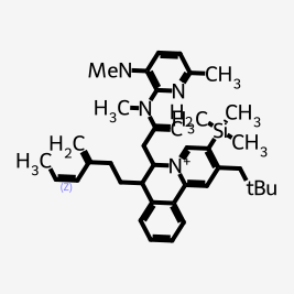 C=C(/C=C\C)CCC1c2ccccc2-c2cc(CC(C)(C)C)c([Si](C)(C)C)c[n+]2C1CC(=C)N(C)c1nc(C)ccc1NC